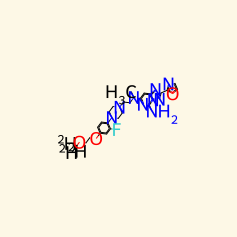 [2H]C([2H])([2H])OCCOc1ccc(N2CCN(CCN(C)c3cc4nc(-c5ncco5)nn4c(N)n3)CC2)c(F)c1